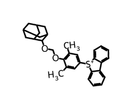 Cc1cc(-[s+]2c3ccccc3c3ccccc32)cc(C)c1OCOC1C2CC3CC(C2)CC1C3